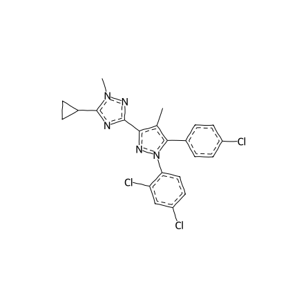 Cc1c(-c2nc(C3CC3)n(C)n2)nn(-c2ccc(Cl)cc2Cl)c1-c1ccc(Cl)cc1